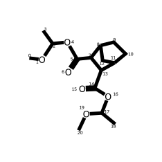 COC(C)OC(=O)C1C2CCC(C2)C1C(=O)OC(C)OC